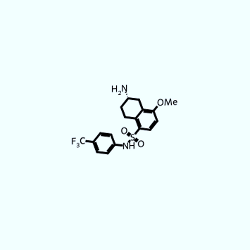 COc1ccc(S(=O)(=O)Nc2ccc(C(F)(F)F)cc2)c2c1C[C@@H](N)CC2